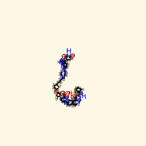 Cc1cc(OC2CCC(CCCCN3CCN(c4ccc5c(C6CCC(=O)NC6=O)nn(C)c5n4)CC3)CC2)ccc1-c1ccc(N2CCc3ccnc(C(=O)Nc4nc5ccccc5s4)c3C2)nc1C(=O)O